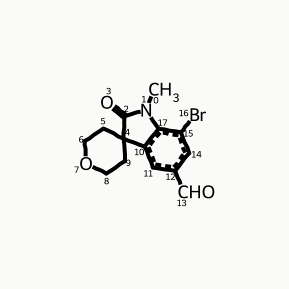 CN1C(=O)C2(CCOCC2)c2cc(C=O)cc(Br)c21